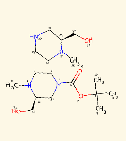 CN1CCN(C(=O)OC(C)(C)C)C[C@H]1CO.CN1CCNC[C@H]1CO